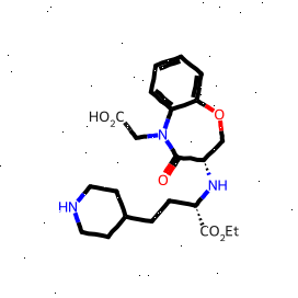 CCOC(=O)[C@H](CCC1CCNCC1)N[C@H]1COc2ccccc2N(CC(=O)O)C1=O